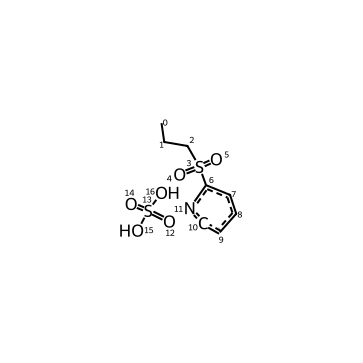 CCCS(=O)(=O)c1ccccn1.O=S(=O)(O)O